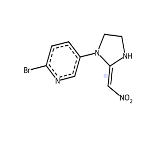 O=[N+]([O-])/C=C1\NCCN1c1ccc(Br)nc1